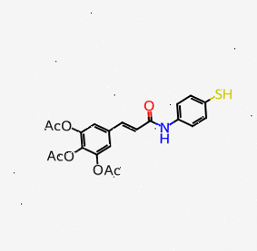 CC(=O)Oc1cc(/C=C/C(=O)Nc2ccc(S)cc2)cc(OC(C)=O)c1OC(C)=O